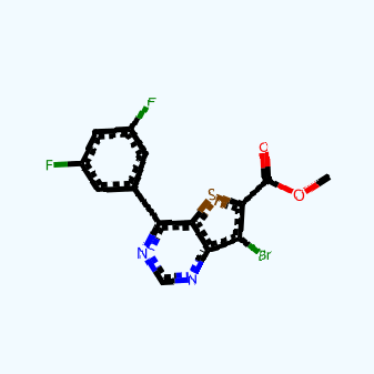 COC(=O)c1sc2c(-c3cc(F)cc(F)c3)ncnc2c1Br